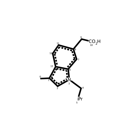 Cc1cn(CC(C)C)c2cc(CC(=O)O)ccc12